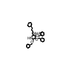 CC(=O)N[C@@]1(CCCCc2ccccc2)CN[C@H](COCc2ccccc2)[C@@H](OCc2ccccc2)[C@@H]1OCc1ccccc1